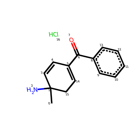 CC1(N)C=CC(C(=O)c2ccccc2)=CC1.Cl